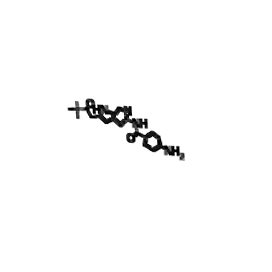 CC(C)(C)C(=O)Cc1cc2cc(NC(=O)c3ccc(N)cc3)ncc2[nH]1